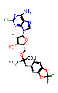 Nc1nc(Cl)nc2c1ncn2[C@@H]1O[C@H](COC(Cc2ccc3c(c2)OC(F)(F)O3)(C(=O)O)C(=O)O)[C@@H](O)[C@@H]1F